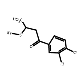 CC(C)SC(CC(=O)c1ccc(Cl)c(Cl)c1)C(=O)O